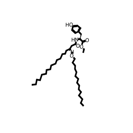 CCCCCCCCCCCCCCCON=C(CCCCCCCCCCCCCCC)CC(=O)N[C@@H](Cc1ccc(O)cc1)C(=O)OCC